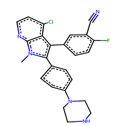 Cn1c(-c2ccc(N3CCNCC3)cc2)c(-c2ccc(F)c(C#N)c2)c2c(Cl)ccnc21